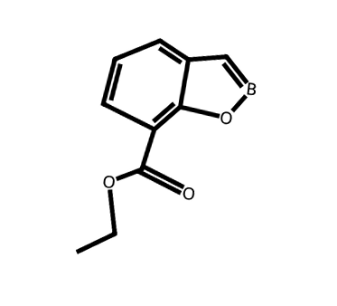 CCOC(=O)c1cccc2cboc12